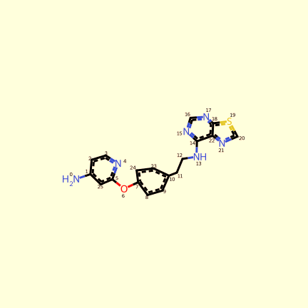 Nc1ccnc(Oc2ccc(CCNc3ncnc4scnc34)cc2)c1